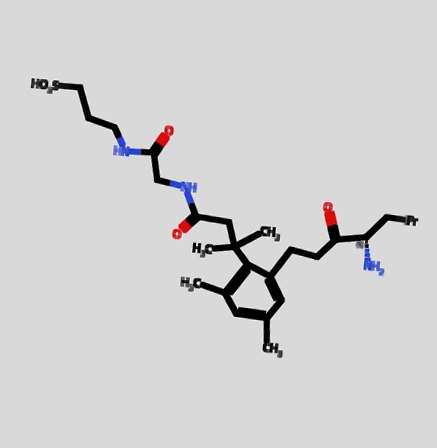 Cc1cc(C)c(C(C)(C)CC(=O)NCC(=O)NCCCS(=O)(=O)O)c(CCC(=O)[C@@H](N)CC(C)C)c1